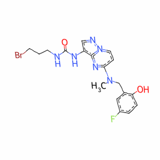 CN(Cc1cc(F)ccc1O)c1ccn2ncc(NC(=O)NCCCBr)c2n1